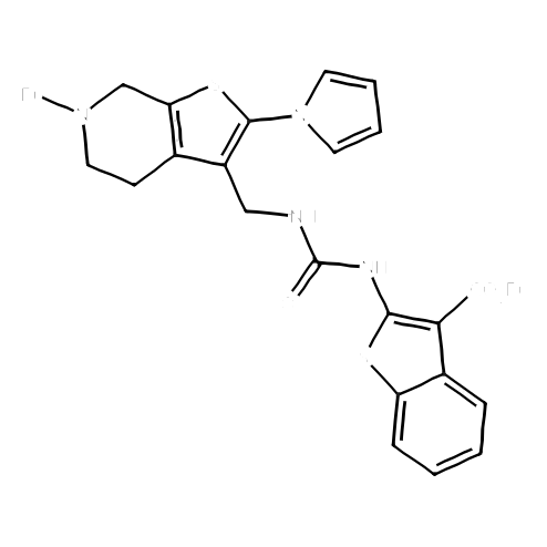 CCOC(=O)c1c(NC(=O)NCc2c(-n3cccc3)sc3c2CCN(CC)C3)sc2ccccc12